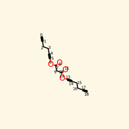 C#CCCC#COC(=O)CC(=O)OC#CCCC#C